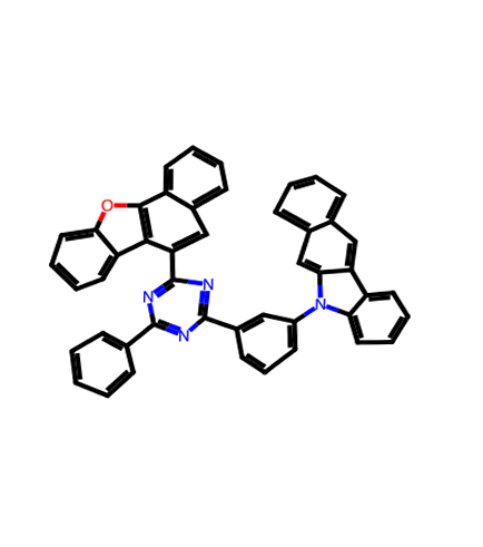 c1ccc(-c2nc(-c3cccc(-n4c5ccccc5c5cc6ccccc6cc54)c3)nc(-c3cc4ccccc4c4oc5ccccc5c34)n2)cc1